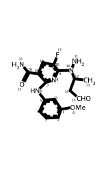 COc1cccc(Nc2nc(N(N)C(C)CC=O)c(F)cc2C(N)=O)c1